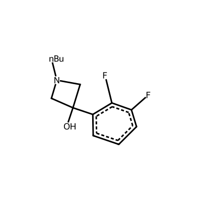 CCCCN1CC(O)(c2cccc(F)c2F)C1